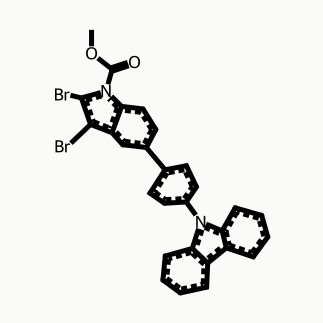 COC(=O)n1c(Br)c(Br)c2cc(-c3ccc(-n4c5ccccc5c5ccccc54)cc3)ccc21